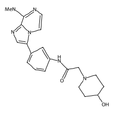 CNc1nccn2c(-c3cccc(NC(=O)CN4CCC(O)CC4)c3)cnc12